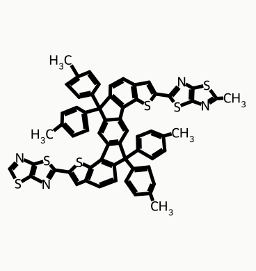 Cc1ccc(C2(c3ccc(C)cc3)c3cc4c(cc3-c3c2ccc2cc(-c5nc6scnc6s5)sc32)C(c2ccc(C)cc2)(c2ccc(C)cc2)c2ccc3cc(-c5nc6sc(C)nc6s5)sc3c2-4)cc1